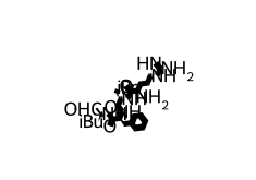 CC[C@H](C)[C@@H]([C]=O)NC(=O)[C@H](Cc1ccccc1)NC(=O)[C@H](CC(C)C)NC(=O)[C@@H](N)CCCNC(=N)N